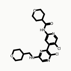 O=C(Nc1cc(-c2nc(NCC3CCOCC3)cnc2Cl)c(Cl)cn1)C1CCOCC1